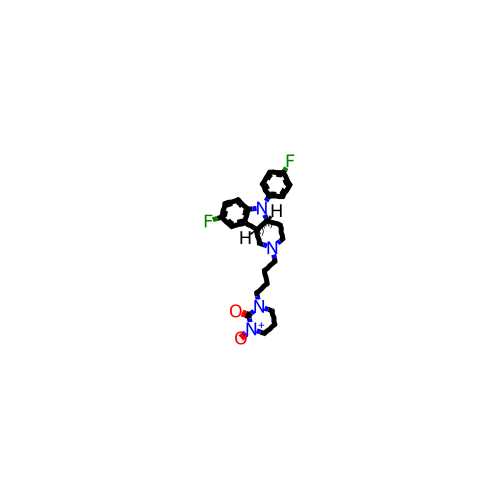 O=C1N(CCCCN2CC[C@@H]3[C@@H](C2)c2cc(F)ccc2N3c2ccc(F)cc2)CCC[N+]1=O